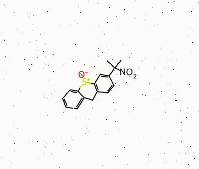 CC(C)(c1ccc2c(c1)[S+]([O-])c1ccccc1C2)[N+](=O)[O-]